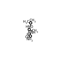 Cc1ccc(C(=O)Nc2cccc([C@@H](C)Nc3ncnc4c(C(N)=O)cccc34)c2)cc1C